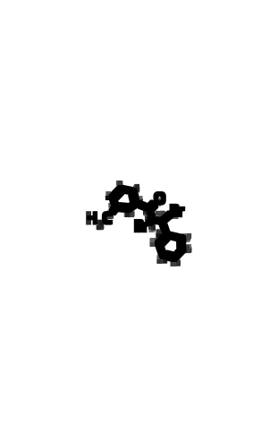 Cc1cccc(C(=O)C(Br)C(Br)c2ccccc2)c1